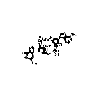 CO[C@H]1[C@H]2O[P@@](=O)(S)OC[C@H]3C[C@@H](n4cnc5c(N)ncnc54)[C@H](O)[C@@H]3O[P@@](=O)(S)OC[C@H]1O[C@H]2n1cnc2c(=O)[nH]c(N)nc21